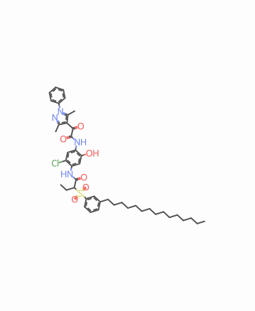 CCCCCCCCCCCCCCCc1cccc(S(=O)(=O)C(CC)C(=O)Nc2cc(O)c(NC(=O)C(=O)c3c(C)nn(-c4ccccc4)c3C)cc2Cl)c1